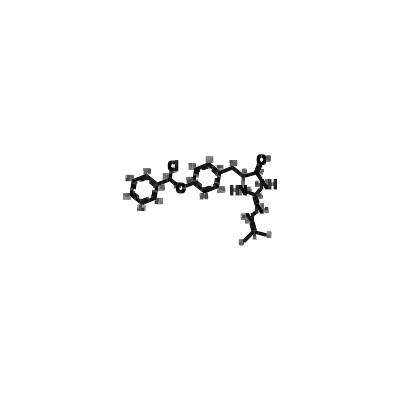 CC(C)=NN=C1NC(=O)C(Cc2ccc(OC(Cl)c3ccccc3)cc2)N1